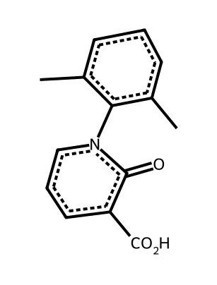 Cc1cccc(C)c1-n1cccc(C(=O)O)c1=O